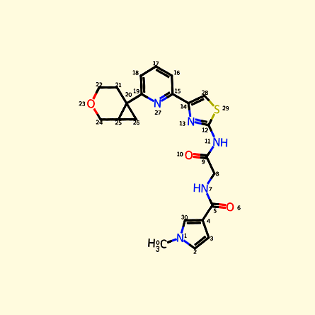 Cn1ccc(C(=O)NCC(=O)Nc2nc(-c3cccc(C45CCOCC4C5)n3)cs2)c1